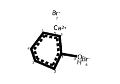 Oc1ccccc1.[Br-].[Br-].[Ca+2]